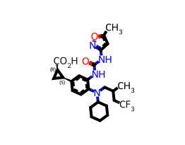 Cc1cc(NC(=O)Nc2cc([C@H]3C[C@H]3C(=O)O)ccc2N(CC(C)CC(F)(F)F)C2CCCCC2)no1